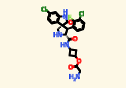 NCC(=O)OC1CC(NC(=O)[C@@H]2NC[C@]3(C(=O)Nc4cc(Cl)ccc43)[C@H]2c2cccc(Cl)c2F)C1